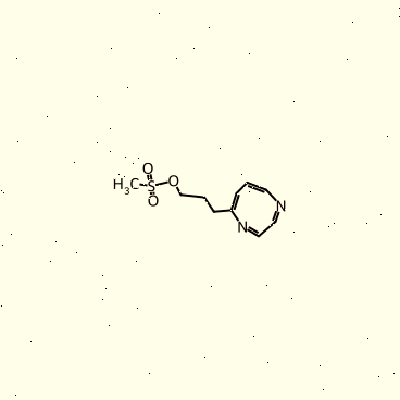 CS(=O)(=O)OCCCC1=CC=CN=CC=N1